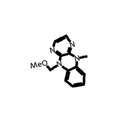 COCN1c2c[c]ccc2N(C)c2nccnc21